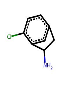 NC1Cc2ccc(Cl)c1c2